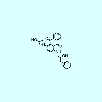 O=C1c2ccccc2C(=O)c2c(N3CC(O)C3)ccc(NCC(O)CN3CCCCC3)c21